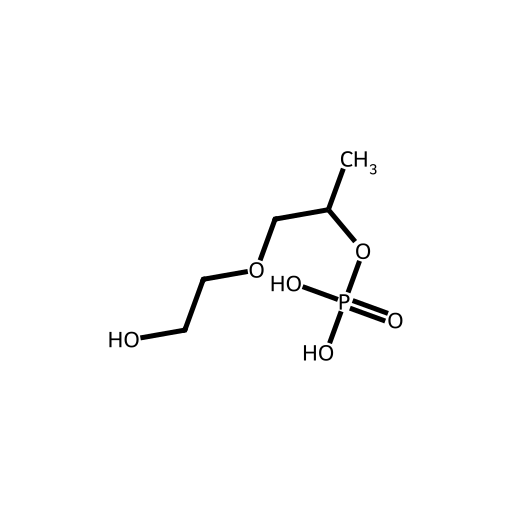 CC(COCCO)OP(=O)(O)O